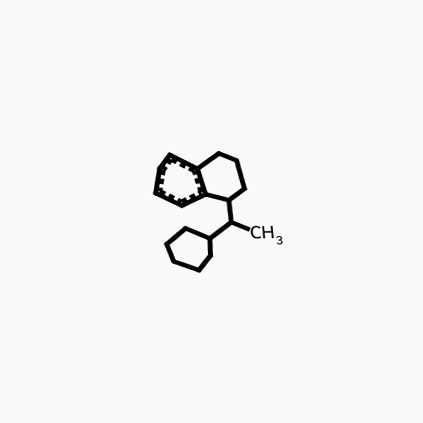 CC(C1CCCCC1)C1CCCc2ccccc21